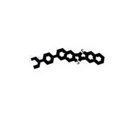 C=C/C(=C\C)c1ccc(-c2ccc3cc4c(cc3c2)sc2c3cc5ccccc5cc3sc42)cc1